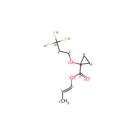 CC=COC(=O)C1(OCCC(F)(F)F)CC1